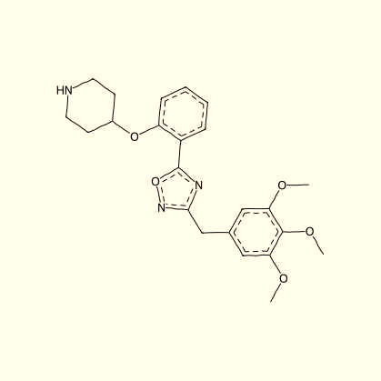 COc1cc(Cc2noc(-c3ccccc3OC3CCNCC3)n2)cc(OC)c1OC